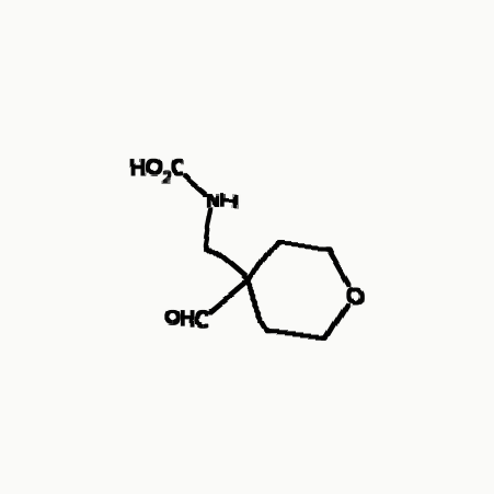 O=CC1(CNC(=O)O)CCOCC1